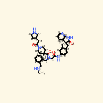 CNCc1ccccc1CN(CC(=O)Nc1ccc2c(c1)C[C@@]1(C2)C(=O)Nc2ncccc21)C(=O)C1(C)CCN(C(=O)C[C@H]2CCNC2)CC1